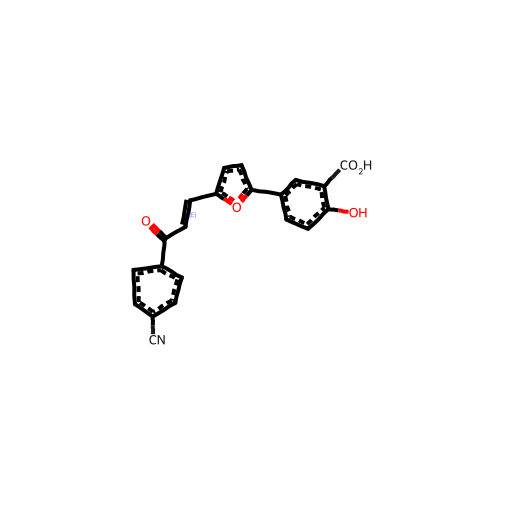 N#Cc1ccc(C(=O)/C=C/c2ccc(-c3ccc(O)c(C(=O)O)c3)o2)cc1